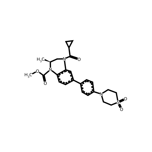 COC(=O)N1c2ccc(-c3ccc(N4CCS(=O)(=O)CC4)cc3)cc2N(C(=O)C2CC2)C[C@@H]1C